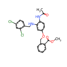 COC(=O)c1ccccc1COc1ccc(NC(C)=O)c(NCc2ccc(Cl)cc2Cl)c1